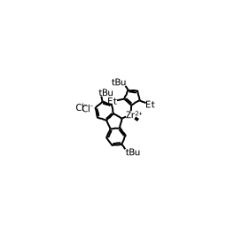 [CH2]=[Zr+2]([C]1=C(CC)C(C(C)(C)C)=CC1CC)[CH]1c2cc(C(C)(C)C)ccc2-c2ccc(C(C)(C)C)cc21.[Cl-].[Cl-]